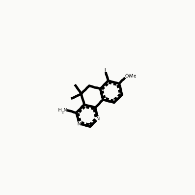 COc1ccc2c(c1I)CC(C)(C)c1c(N)ncnc1-2